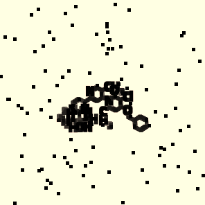 [2H]C([2H])([2H])C(O)(c1nccc(-c2cc(-n3c(C)cc(OCc4ccccc4)c(Cl)c3=O)c(C)cn2)n1)C([2H])([2H])[2H]